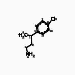 [CH2]C(CCN)c1ccc(Cl)cc1